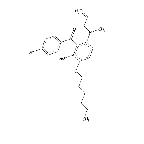 C=CCN(C)c1ccc(OCCCCCC)c(O)c1C(=O)c1ccc(Br)cc1